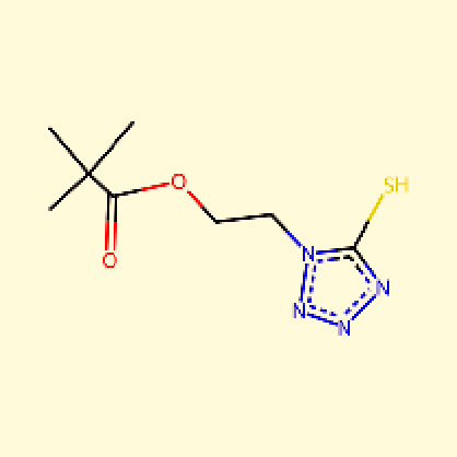 CC(C)(C)C(=O)OCCn1nnnc1S